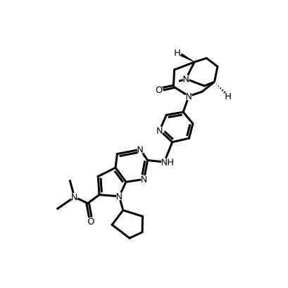 CN(C)C(=O)c1cc2cnc(Nc3ccc(N4C[C@@H]5CC[C@@H](CC4=O)N(C)C5)cn3)nc2n1C1CCCC1